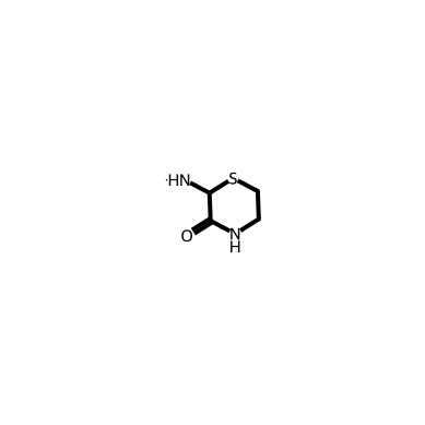 [NH]C1SCCNC1=O